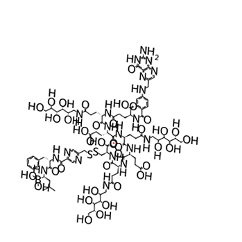 CC(C)C[C@H](NC(=O)[C@H](Cc1ccccc1)NC(=O)c1cnc(CSSC[C@H](NC(=O)[C@H](CCC(=O)NC[C@H](O)[C@@H](O)[C@H](O)[C@H](O)CO)NC(=O)[C@H](CCC(=O)O)NC(=O)[C@H](CCC(=O)NC[C@H](O)[C@@H](O)[C@H](O)[C@H](O)CO)NC(=O)[C@H](CCC(=O)O)NC(=O)[C@H](CCC(=O)NC[C@H](O)[C@@H](O)[C@H](O)[C@H](O)CO)NC(=O)CC[C@H](NC(=O)c2ccc(NCc3cnc4nc(N)[nH]c(=O)c4n3)cc2)C(=O)O)C(=O)O)cn1)B(O)O